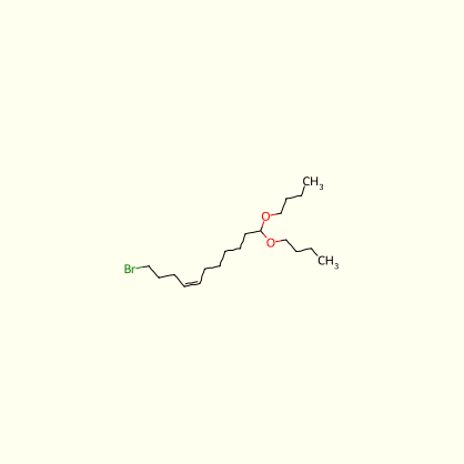 CCCCOC(CCCCC/C=C\CCCBr)OCCCC